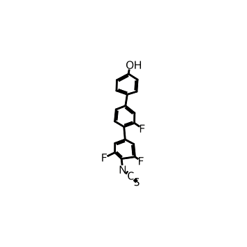 Oc1ccc(-c2ccc(-c3cc(F)c(N=C=S)c(F)c3)c(F)c2)cc1